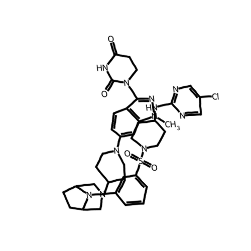 Cn1nc(N2CCC(=O)NC2=O)c2ccc(N3CCC(CN4C5CCC4CN(c4cccc(S(=O)(=O)N6CCC(Nc7ncc(Cl)cn7)CC6)c4)C5)CC3)cc21